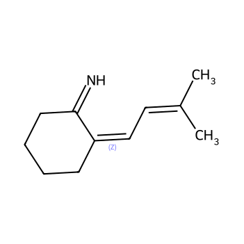 CC(C)=C/C=C1/CCCCC1=N